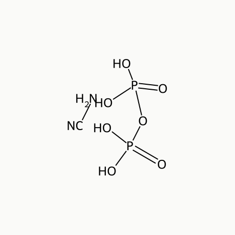 N#CN.O=P(O)(O)OP(=O)(O)O